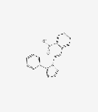 O=[N+]([O-])c1ccccc1C=Cn1ccnc1-c1ccccc1